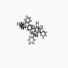 O=c1[nH]c(=O)n(-c2ccccc2)c2nc(C3CCCCC3)n(Cc3ccc(-c4ccccc4-c4nnn[nH]4)cc3)c12